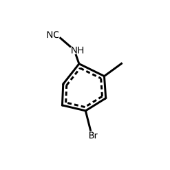 Cc1cc(Br)ccc1NC#N